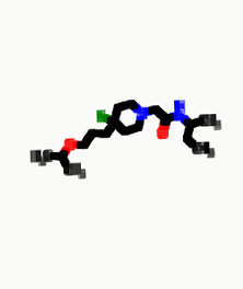 CCC(C)NC(=O)CN1CCC(F)(CCCOC(C)C)CC1